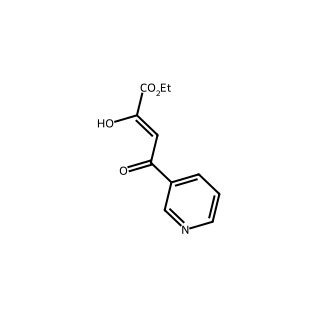 CCOC(=O)C(O)=CC(=O)c1cccnc1